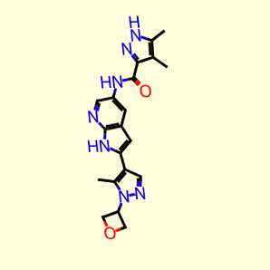 Cc1[nH]nc(C(=O)Nc2cnc3[nH]c(-c4cnn(C5COC5)c4C)cc3c2)c1C